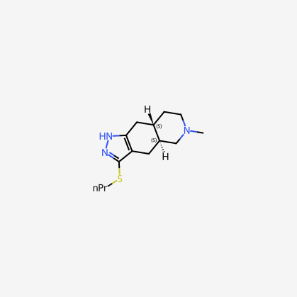 CCCSc1n[nH]c2c1C[C@@H]1CN(C)CC[C@H]1C2